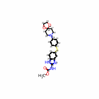 COC(=O)Nc1nc2cc(Sc3ccc(N4CCC5(CC4)OCCO5)cc3)ccc2[nH]1